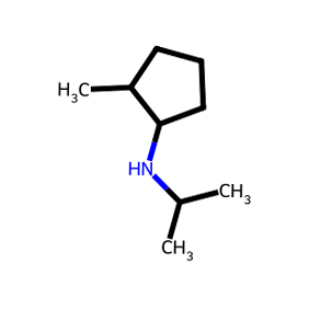 CC(C)NC1CCCC1C